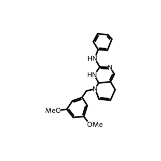 COc1cc(CN2C=CCC3=CN=C(Nc4ccccc4)NC32)cc(OC)c1